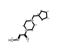 O=C(/C=N/O)N1CCN(CC2CCCC2)CC1